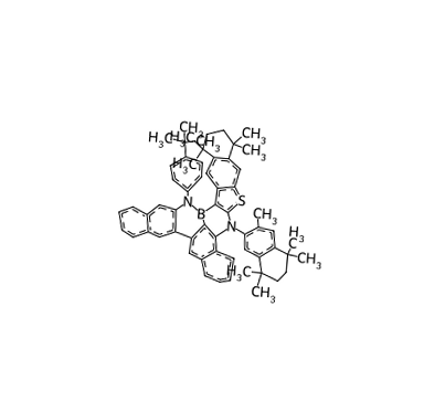 Cc1cc2c(cc1N1c3sc4cc5c(cc4c3B3c4c(cc6ccccc6c41)-c1cc4ccccc4cc1N3c1ccc(C(C)(C)C)cc1)C(C)(C)CCC5(C)C)C(C)(C)CCC2(C)C